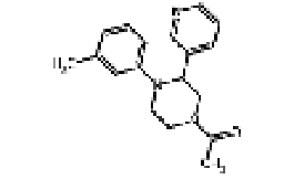 CC(=O)N1CCN(c2cccc(C)c2)C(c2cccnc2)C1